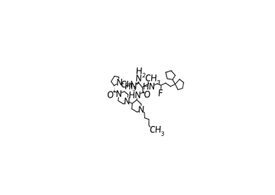 CCCCCN1CCC(N2CCN(C(=O)[C@@H]3CCCN3C)CC2)C(NC(=O)C(C(=N)N)C(C)NCC(F)CCC2(C3CCCC3)CCCC2)C1